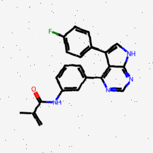 C=C(C)C(=O)Nc1cccc(-c2ncnc3[nH]cc(-c4ccc(F)cc4)c23)c1